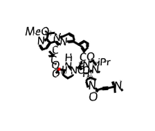 CO[C@@H](C)c1ncccc1-c1nc2ccc3cn2c1CC(C)(C)COC(=O)[C@@H]1CCCN(N1)C(=O)[C@@H](NC(=O)[C@H](C(C)C)N(C)C(=O)[C@H]1CCN(C(=O)C#CC(C)(C)N(C)C)C1)Cc1cccc-3c1